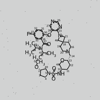 CO[C@H]1CCN(S(=O)(=O)N[C@@H]2CC[C@@H](CN3CCC4(CC3)CN(c3ncncc3Oc3ccc(F)cc3C(=O)N(C(C)C)C(C)C)C4)OC2)C1